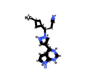 C[C@H]1C[C@@H]([C@H](CC#N)n2cc(-c3ncnc4[nH]ccc34)cn2)C1